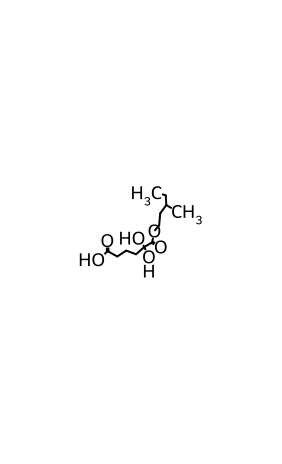 CCC(C)CCOC(=O)C(O)(O)CCCC(=O)O